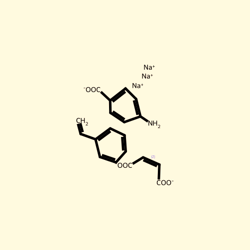 C=Cc1ccccc1.Nc1ccc(C(=O)[O-])cc1.O=C([O-])/C=C\C(=O)[O-].[Na+].[Na+].[Na+]